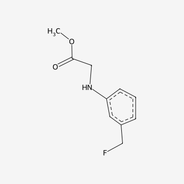 COC(=O)CNc1cccc(CF)c1